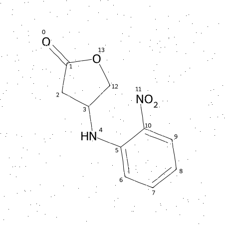 O=C1CC(Nc2ccccc2[N+](=O)[O-])CO1